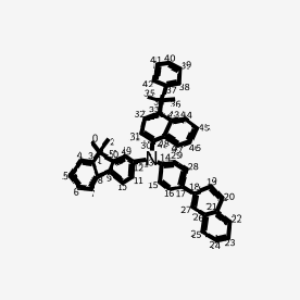 CC1(C)c2ccccc2-c2ccc(N(c3ccc(-c4ccc5ccccc5c4)cc3)c3ccc(C(C)(C)c4ccccc4)c4ccccc34)cc21